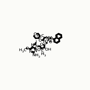 COc1nc(N)nc2c1nc(I)n2C1O[C@H](COP(=O)(N[C@@H](C)C(=O)OC2CCOCC2)Oc2cccc3ccccc23)[C@@H](O)[C@@]1(C)O